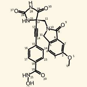 COc1ccc2c(c1)C(=O)N(C[C@@]1(C#Cc3ccc(C(=O)NO)cc3)NC(=O)NC1=O)C2